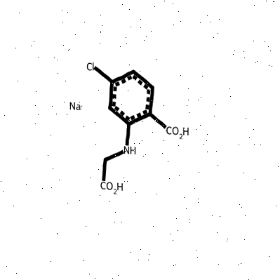 O=C(O)CNc1cc(Cl)ccc1C(=O)O.[Na]